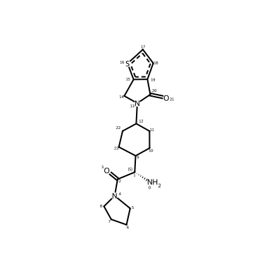 N[C@H](C(=O)N1CCCC1)C1CCC(N2Cc3sccc3C2=O)CC1